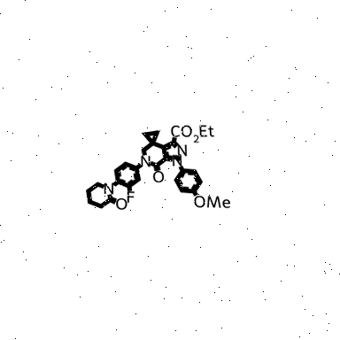 CCOC(=O)c1nn(-c2ccc(OC)cc2)c2c1C1(CC1)CN(c1ccc(N3CCCCC3=O)c(F)c1)C2=O